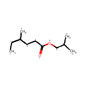 CCC(C)C[CH]C(=O)OCC(C)C